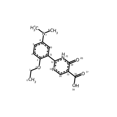 CCOc1ccc(N(C)C)cc1-c1ncc(C(=O)O)c(=O)[nH]1